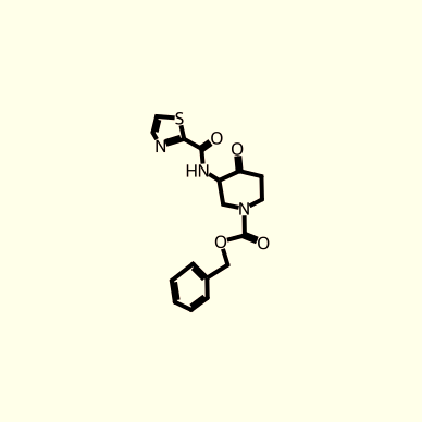 O=C(NC1CN(C(=O)OCc2ccccc2)CCC1=O)c1nccs1